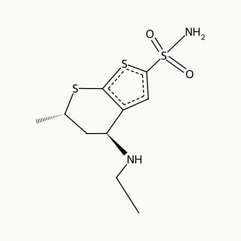 CCN[C@H]1C[C@H](C)Sc2sc(S(N)(=O)=O)cc21